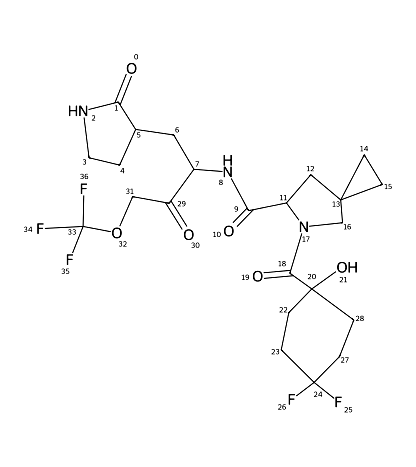 O=C1NCCC1CC(NC(=O)C1CC2(CC2)CN1C(=O)C1(O)CCC(F)(F)CC1)C(=O)COC(F)(F)F